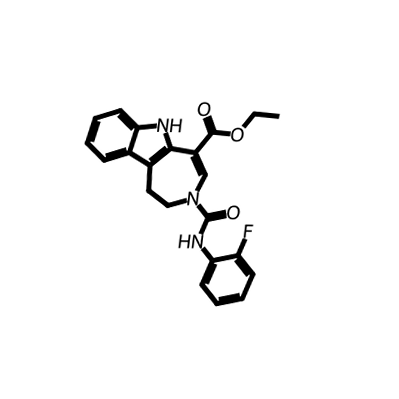 CCOC(=O)C1=CN(C(=O)Nc2ccccc2F)CCc2c1[nH]c1ccccc21